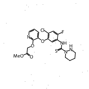 COC(=O)COc1ncccc1Oc1cc(NC(=S)N2CCCCN2)c(F)cc1Cl